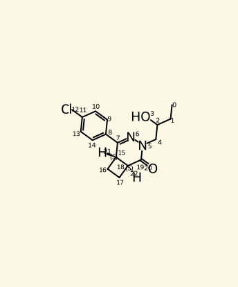 CCC(O)CN1N=C(c2ccc(Cl)cc2)[C@H]2CC[C@@H]2C1=O